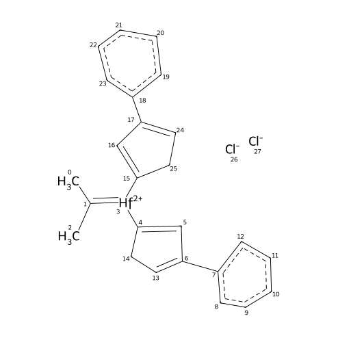 C[C](C)=[Hf+2]([C]1=CC(c2ccccc2)=CC1)[C]1=CC(c2ccccc2)=CC1.[Cl-].[Cl-]